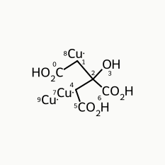 O=C(O)CC(O)(CC(=O)O)C(=O)O.[Cu].[Cu].[Cu]